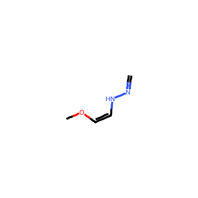 C=NN/C=C\OC